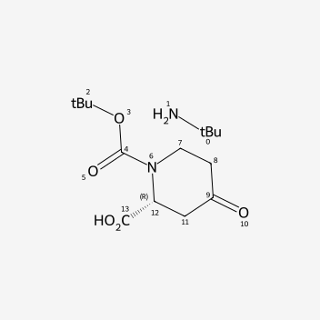 CC(C)(C)N.CC(C)(C)OC(=O)N1CCC(=O)C[C@@H]1C(=O)O